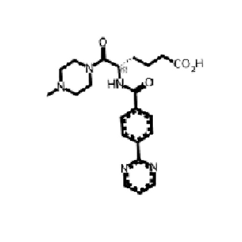 CN1CCN(C(=O)[C@H](CCCC(=O)O)NC(=O)c2ccc(-c3ncccn3)cc2)CC1